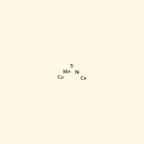 [Ce].[Cu].[Mn].[Ni].[Ti]